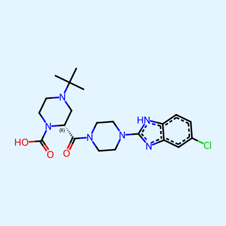 CC(C)(C)N1CCN(C(=O)O)[C@@H](C(=O)N2CCN(c3nc4cc(Cl)ccc4[nH]3)CC2)C1